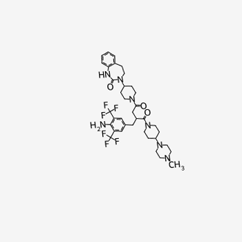 CN1CCN(C2CCN(C(=O)C(CC(=O)N3CCC(N4CCc5ccccc5NC4=O)CC3)Cc3cc(C(F)(F)F)c(N)c(C(F)(F)F)c3)CC2)CC1